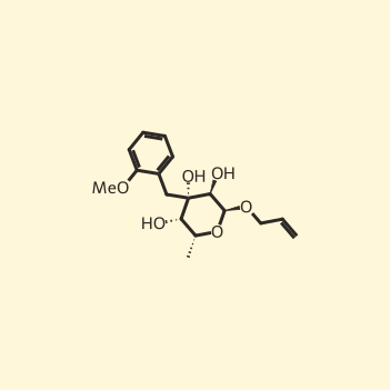 C=CCO[C@H]1O[C@H](C)[C@H](O)[C@@](O)(Cc2ccccc2OC)[C@H]1O